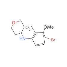 COc1c(Br)ccc(NC2CCOCC2)c1[N+](=O)[O-]